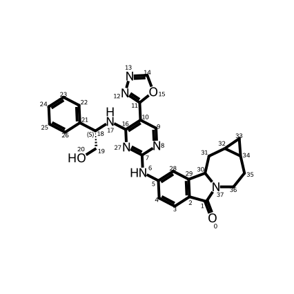 O=C1c2ccc(Nc3ncc(-c4nnco4)c(N[C@H](CO)c4ccccc4)n3)cc2C2CC3CC3CCN12